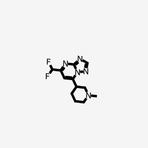 CN1CCCC(c2cc(C(F)F)nc3ncnn23)C1